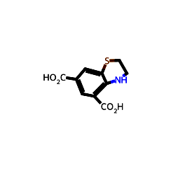 O=C(O)c1cc2c(c(C(=O)O)c1)NCCS2